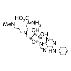 CNCCCN(CC[C@H](N)C(=O)O)C[C@H]1O[C@@H](n2cnc3c(Nc4ccccc4)ncnc32)[C@H](O)[C@@H]1O